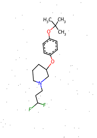 CC(C)(C)Oc1ccc(OC2CCCN(CCC(F)F)C2)cc1